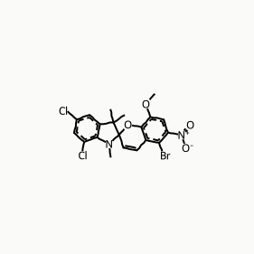 COc1cc([N+](=O)[O-])c(Br)c2c1OC1(C=C2)N(C)c2c(Cl)cc(Cl)cc2C1(C)C